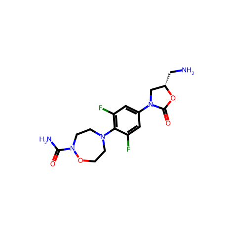 NC[C@H]1CN(c2cc(F)c(N3CCON(C(N)=O)CC3)c(F)c2)C(=O)O1